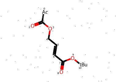 CC(=O)C(=O)OCC=CC(=O)OC(C)(C)C